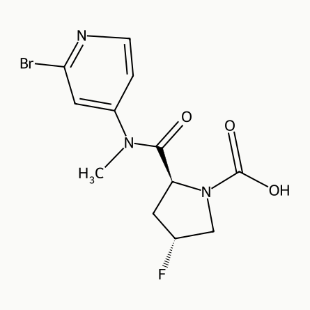 CN(C(=O)[C@@H]1C[C@@H](F)CN1C(=O)O)c1ccnc(Br)c1